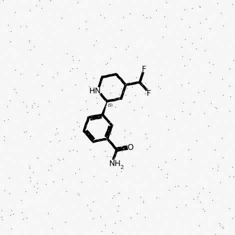 NC(=O)c1cccc([C@@H]2CC(C(F)F)CCN2)c1